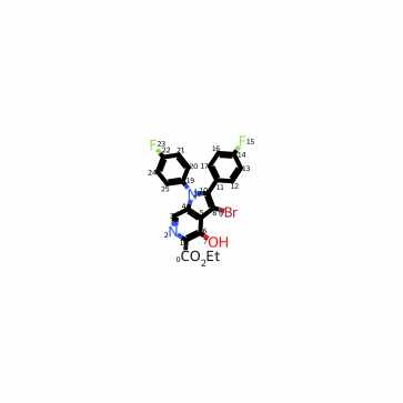 CCOC(=O)c1ncc2c(c1O)c(Br)c(-c1ccc(F)cc1)n2-c1ccc(F)cc1